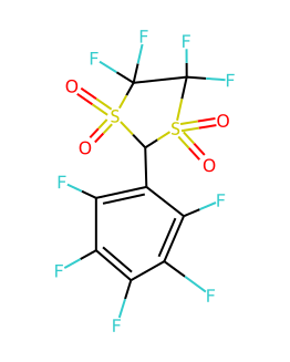 O=S1(=O)C(c2c(F)c(F)c(F)c(F)c2F)S(=O)(=O)C(F)(F)C1(F)F